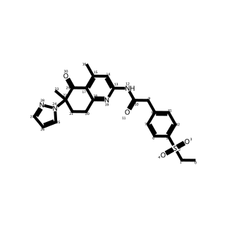 CCS(=O)(=O)c1ccc(CC(=O)Nc2cc(C)c3c(n2)CCC(C)(n2cccn2)C3=O)cc1